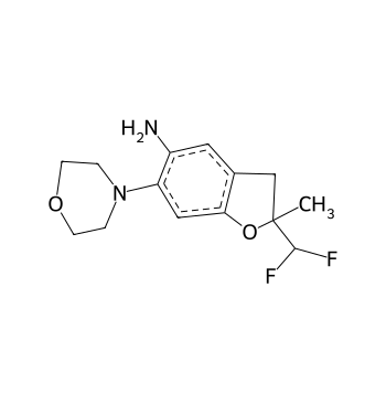 CC1(C(F)F)Cc2cc(N)c(N3CCOCC3)cc2O1